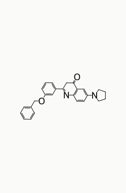 O=C1CC(c2cccc(OCc3ccccc3)c2)=Nc2ccc(N3CCCC3)cc21